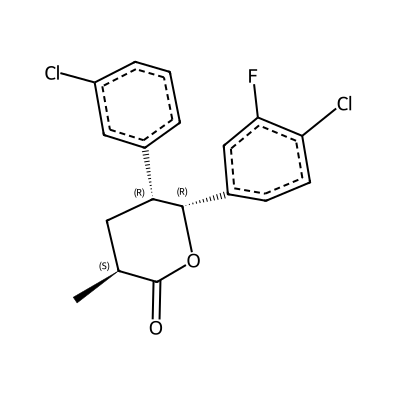 C[C@H]1C[C@H](c2cccc(Cl)c2)[C@H](c2ccc(Cl)c(F)c2)OC1=O